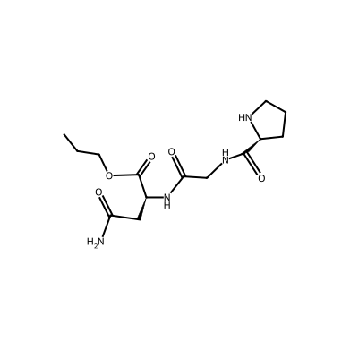 CCCOC(=O)[C@H](CC(N)=O)NC(=O)CNC(=O)[C@@H]1CCCN1